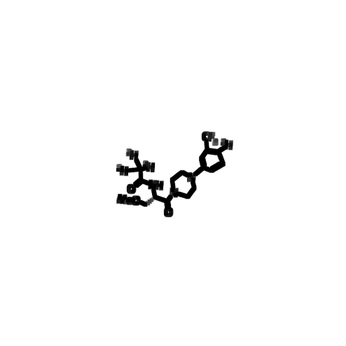 [2H]c1ccc(N2CCN(C(=O)[C@H](COC)NC(=O)C([2H])([2H])[2H])CC2)cc1C(F)(F)F